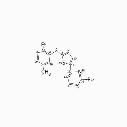 Cc1ccc(F)c(Cc2ccc(-c3cccc(F)n3)s2)c1